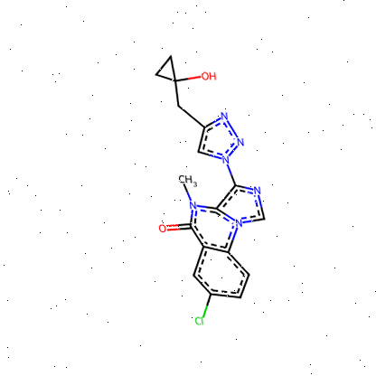 Cn1c(=O)c2cc(Cl)ccc2n2cnc(-n3cc(CC4(O)CC4)nn3)c12